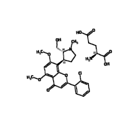 COc1cc(OC)c2c(=O)cc(-c3ccccc3Cl)oc2c1[C@@H]1CCN(C)[C@H]1CO.N[C@@H](CCC(=O)O)C(=O)O